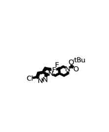 CC(C)(C)OC(=O)N1CCC(Cn2ccc3cc(Cl)nnc32)C(F)(F)C1